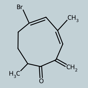 C=C1/C=C(C)\C=C(\Br)CCC(C)C1=O